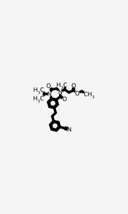 CCOC(=O)CC(C)N1CC(=O)N(C(C)C)c2ccc(CCc3cccc(C#N)c3)cc2C1=O